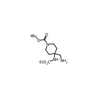 CCOC(=O)NC1(CN)CCN(C(=O)OC(C)(C)C)CC1